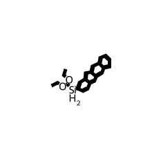 CCOC(OCC)[SiH2]c1ccc2cc3cc4ccccc4cc3cc2c1